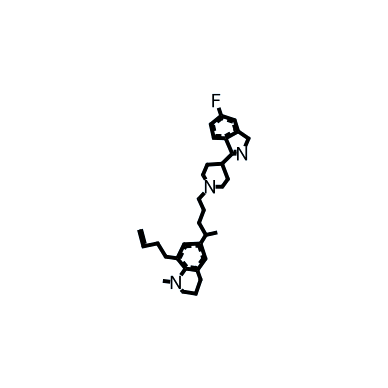 C=CCCc1cc(C(C)CCCN2CCC(C3=NCc4cc(F)ccc43)CC2)cc2c1N(C)CCC2